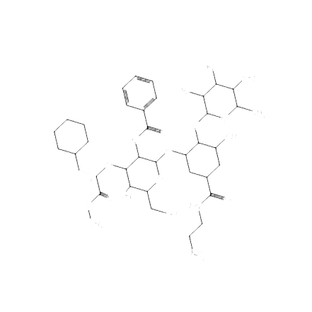 COC(=O)[C@H](CC1CCCCC1)OC1C(O)C(CO)OC(OC2CC(C(=O)NCCN)CC(C)C2OC2OC(C)C(O)C(O)C2O)C1OC(=O)c1ccccc1